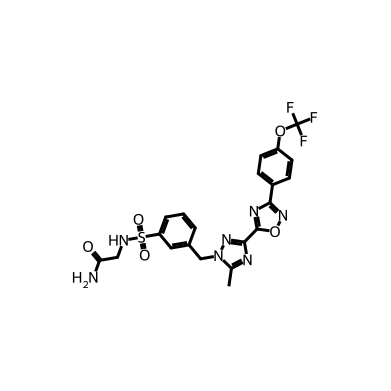 Cc1nc(-c2nc(-c3ccc(OC(F)(F)F)cc3)no2)nn1Cc1cccc(S(=O)(=O)NCC(N)=O)c1